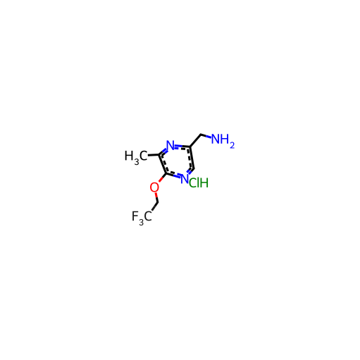 Cc1nc(CN)cnc1OCC(F)(F)F.Cl